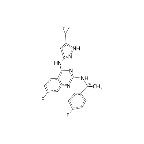 C[C@H](Nc1nc(Nc2cc(C3CC3)[nH]n2)c2ccc(F)cc2n1)c1ccc(F)cc1